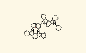 C1=CC(n2c3c(c4c5c6ccccc6n(-c6cccc(-n7c8ccccc8c8ccc9c%10c(n(-c%11ccccc%11)c9c87)C=CCC%10)c6)c5ccc42)CCC=C3)=CCC1